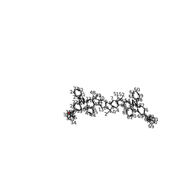 CC1(C)c2cc3c(cc2-c2cc4c(cc21)-c1c(cc(N(c2ccccc2)c2ccc(C5CCC6CC5C6(C)C)cc2)c2ccccc12)C4(C)C)C(C)(C)c1cc(N(c2ccccc2)c2ccc(C4CCC5CC4C5(C)C)cc2)c2ccccc2c1-3